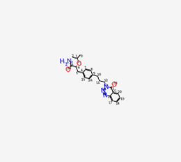 CC(C)OC(Cc1ccc(CCCn2nnc3ccccc3c2=O)cc1)C(N)=O